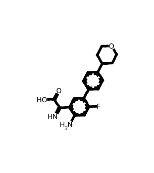 N=C(C(=O)O)c1cc(-c2ccc(C3CCOCC3)cc2)c(F)cc1N